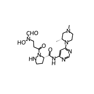 C[C@@H]1CN(C)CCN1c1cc(NC(=O)[C@@H]2CCNN2C(=O)CCN(O)C=O)ncn1